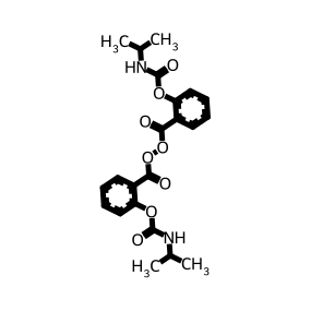 CC(C)NC(=O)Oc1ccccc1C(=O)OOC(=O)c1ccccc1OC(=O)NC(C)C